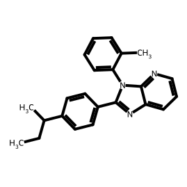 CCC(C)c1ccc(-c2nc3cccnc3n2-c2ccccc2C)cc1